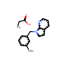 CCC(=O)O.COc1cccc(Cn2ccc3cccnc32)c1